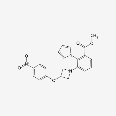 COC(=O)c1cccc(N2CC(Oc3ccc([N+](=O)[O-])cc3)C2)c1-n1cccc1